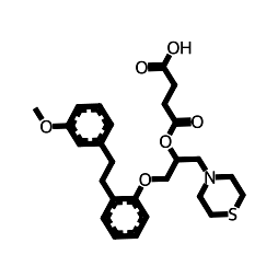 COc1cccc(CCc2ccccc2OCC(CN2CCSCC2)OC(=O)CCC(=O)O)c1